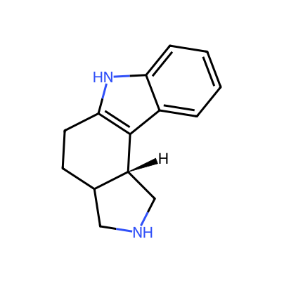 c1ccc2c3c([nH]c2c1)CCC1CNC[C@@H]31